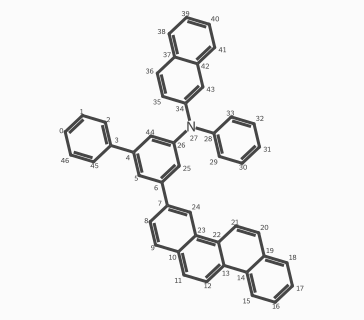 c1ccc(-c2cc(-c3ccc4ccc5c6ccccc6ccc5c4c3)cc(N(c3ccccc3)c3ccc4ccccc4c3)c2)cc1